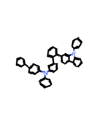 c1ccc(-c2ccc(N(c3ccccc3)c3cccc(-c4ccccc4-c4ccc5c6ccccc6n(-c6ccccc6)c5c4)c3)cc2)cc1